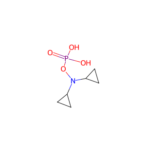 O=P(O)(O)ON(C1CC1)C1CC1